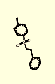 Cc1ccc(S(=O)(=O)CCc2ccccc2)cc1